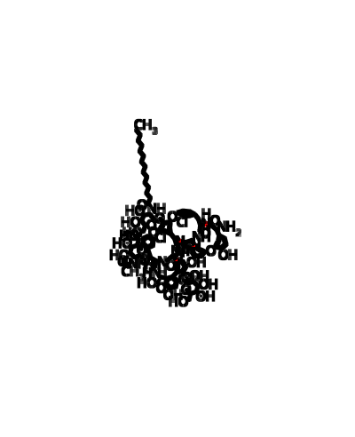 CCCCCCCCCCCCCCCC(=O)NC1[C@H](Oc2c3cc4cc2Oc2ccc(cc2Cl)[C@@H](O[C@@H]2OC(CO)[C@@H](O)C(O)[C@@H]2NC(C)=O)[C@@H]2NC(=O)[C@H](NC(=O)[C@@H]4NC(=O)[C@H]4NC(=O)[C@@H](Cc5ccc(c(Cl)c5)O3)NC(=O)[C@H](N)c3ccc(O)c(c3)Oc3cc(O)cc4c3)c3ccc(O)c(c3)-c3c(O[C@H]4OC(CO)[C@@H](O)[C@@H](O)C4O)cc(O)cc3[C@@H](C(=O)O)NC2=O)OC(CO)[C@@H](O)[C@@H]1O